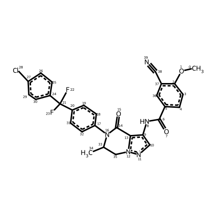 COc1ccc(C(=O)Nc2cnn3c2C(=O)N(c2ccc(C(F)(F)c4ccc(Cl)cc4)cc2)C(C)C3)cc1C#N